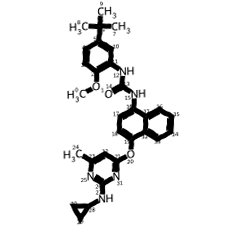 COc1ccc(C(C)(C)C)cc1NC(=O)Nc1ccc(Oc2cc(C)nc(NC3CC3)n2)c2ccccc12